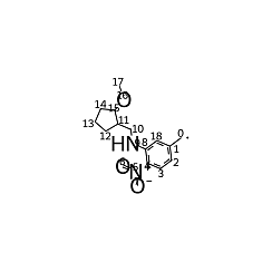 [CH2]c1ccc([N+](=O)[O-])c(NCC2CCCC2OC)c1